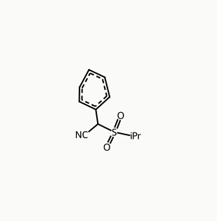 CC(C)S(=O)(=O)C(C#N)c1ccccc1